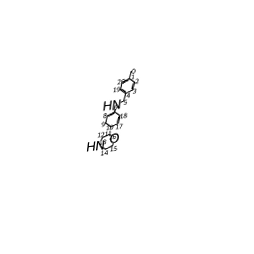 Cc1ccc(CNC2=CCC([C@H]3CNCCO3)C=C2)cc1